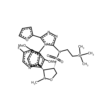 COc1cccc(OC)c1-n1c(-c2ccco2)nnc1N(CC[Si](C)(C)C)S(=O)(=O)[C@@H]1CON(C)[C@H]1c1ncc(F)cn1